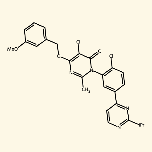 COc1cccc(COc2nc(C)n(-c3cc(-c4ccnc(C(C)C)n4)ccc3Cl)c(=O)c2Cl)c1